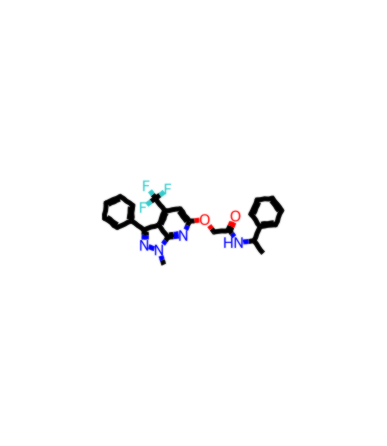 CC(NC(=O)COc1cc(C(F)(F)F)c2c(-c3ccccc3)nn(C)c2n1)c1ccccc1